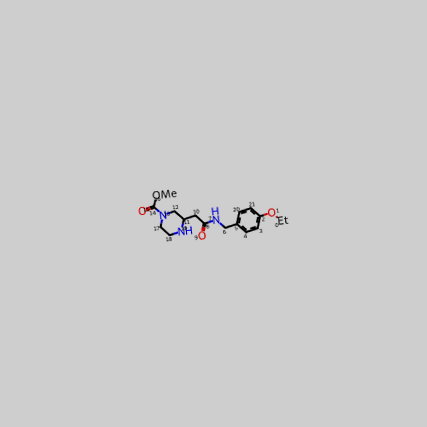 CCOc1ccc(CNC(=O)CC2CN(C(=O)OC)CCN2)cc1